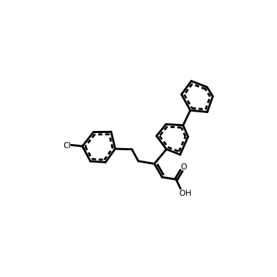 O=C(O)/C=C(/CCc1ccc(Cl)cc1)c1ccc(-c2ccccc2)cc1